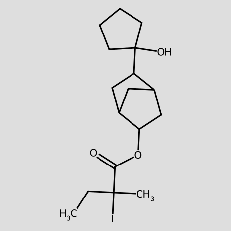 CCC(C)(I)C(=O)OC1CC2CC1CC2C1(O)CCCC1